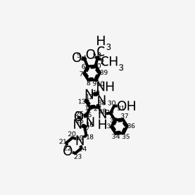 CC1(C)OC(=O)c2ccc(Nc3ncc(-c4nc(CN5CCOCC5)no4)c(NC(CO)c4ccccc4)n3)cc21